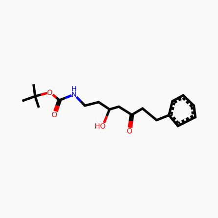 CC(C)(C)OC(=O)NCCC(O)CC(=O)CCc1ccccc1